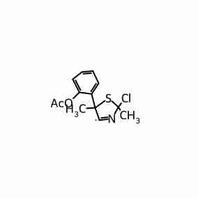 CC(=O)Oc1ccccc1C1(C)[C]=NC(C)(Cl)S1